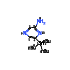 CCC[CH2][Sn]([CH2]CCC)([CH2]CCC)[c]1cncc(N)n1